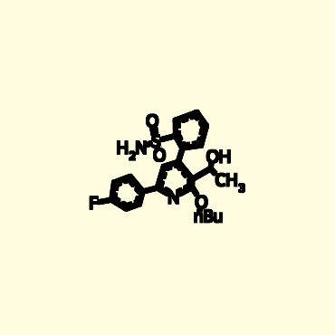 CCCCOc1nc(-c2ccc(F)cc2)cc(-c2ccccc2S(N)(=O)=O)c1C(C)O